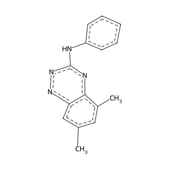 Cc1cc(C)c2nc(Nc3ccccc3)nnc2c1